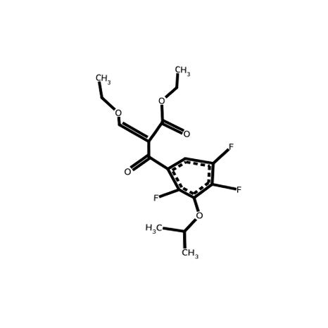 CCOC=C(C(=O)OCC)C(=O)c1cc(F)c(F)c(OC(C)C)c1F